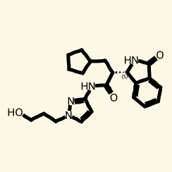 O=C1N[C@@H](C(CC2CCCC2)C(=O)Nc2ccn(CCCO)n2)c2ccccc21